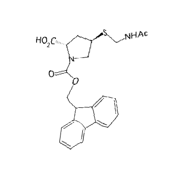 CC(=O)NCS[C@@H]1C[C@@H](C(=O)O)N(C(=O)OCC2c3ccccc3-c3ccccc32)C1